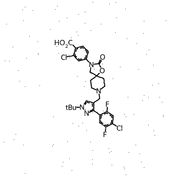 CC(C)(C)n1cc(CN2CCC3(CC2)CN(c2ccc(C(=O)O)c(Cl)c2)C(=O)O3)c(-c2cc(F)c(Cl)cc2F)n1